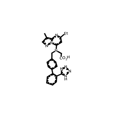 CCc1cc(N(CC(=O)O)Cc2ccc(-c3ccccc3-c3nnn[nH]3)cc2)n2ncc(C)c2n1